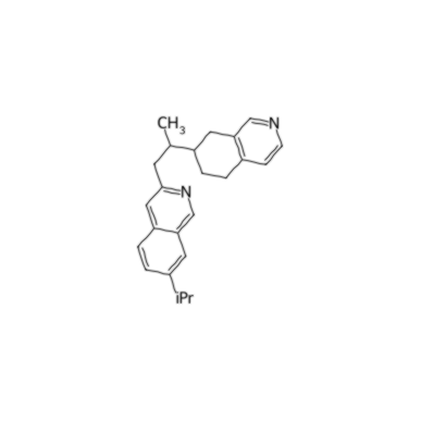 CC(C)c1ccc2cc(CC(C)C3CCc4ccncc4C3)ncc2c1